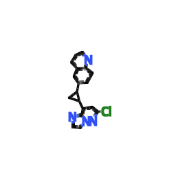 Clc1cc(C2CC2c2ccc3ncccc3c2)c2nccn2n1